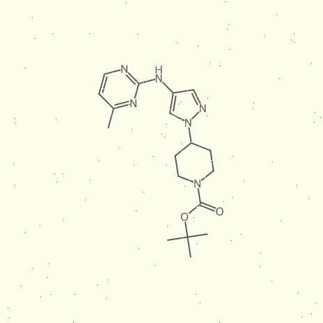 Cc1ccnc(Nc2cnn(C3CCN(C(=O)OC(C)(C)C)CC3)c2)n1